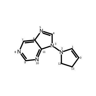 C1=CN(n2cnc3cncnc32)CC1